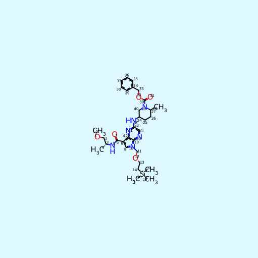 COC[C@@H](C)NC(=O)c1cn(COCC[Si](C)(C)C)c2ncc(NC3CCC(C)N(C(=O)OCc4ccccc4)C3)nc12